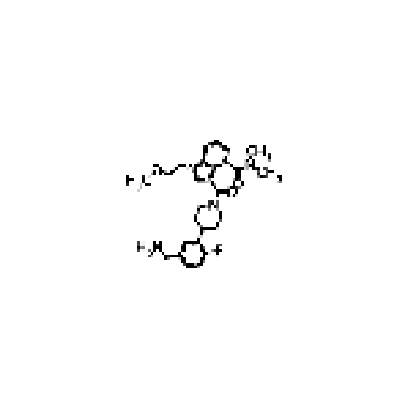 COCCn1cc(C(=O)N2CCC(c3cc(CN)ccc3F)CC2)c2c(C(=O)N(C)C)cccc21